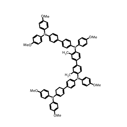 COc1ccc(N(C2=CC=C(c3ccc(N(c4ccc(OC)cc4)c4ccc(-c5ccc(N(c6ccc(OC)cc6)c6ccc(-c7ccc(N(c8ccc(OC)cc8)c8ccc(OC)cc8)cc7)cc6)c(C)c5)cc4C)cc3)CC2)c2ccc(OC)cc2)cc1